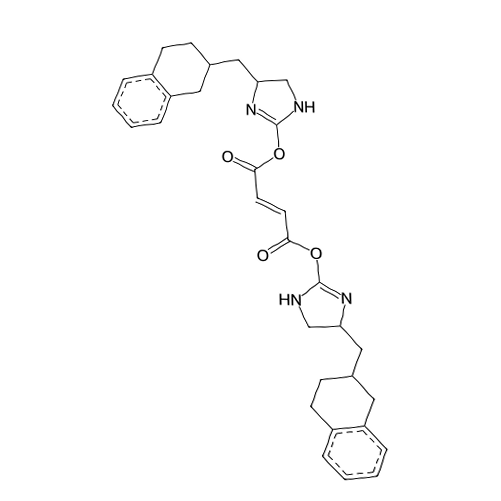 O=C(/C=C/C(=O)OC1=NC(CC2CCc3ccccc3C2)CN1)OC1=NC(CC2CCc3ccccc3C2)CN1